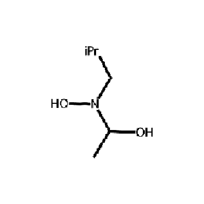 CC(C)CN(O)C(C)O